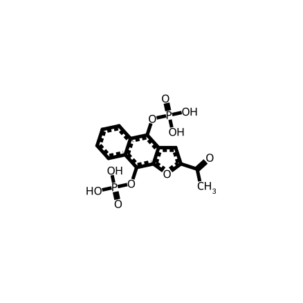 CC(=O)c1cc2c(OP(=O)(O)O)c3ccccc3c(OP(=O)(O)O)c2o1